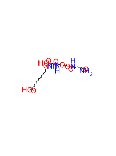 N[C@H]([C]=O)CCCCNC(=O)COCCOCCNC(=O)CC[C@H](NC(=O)CCCCCCCCCCCCCCC(=O)O)C(=O)O